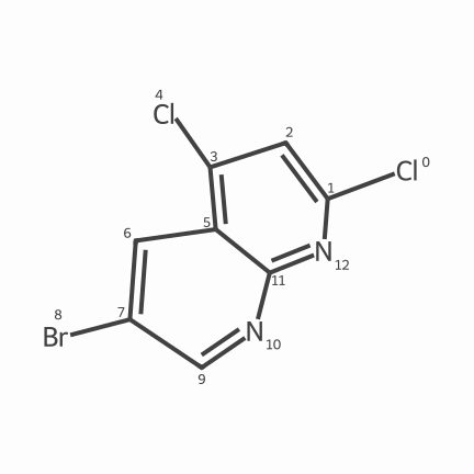 Clc1cc(Cl)c2cc(Br)cnc2n1